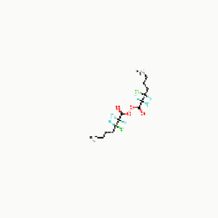 O=C(OOC(=O)C(F)(F)C(F)(Cl)CCCC(F)(F)F)C(F)(F)C(F)(Cl)CCCC(F)(F)F